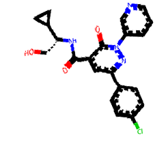 O=C(N[C@H](CO)C1CC1)c1cc(-c2ccc(Cl)cc2)nn(-c2cccnc2)c1=O